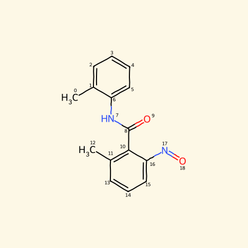 Cc1ccccc1NC(=O)c1c(C)cccc1N=O